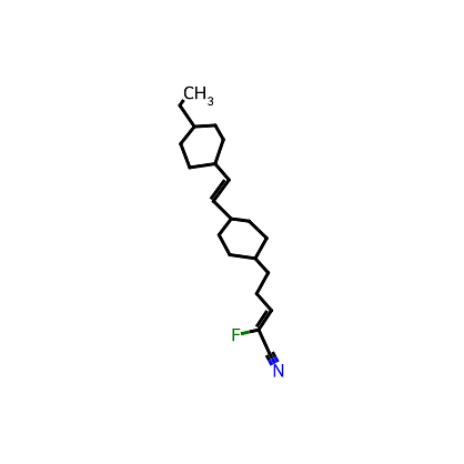 CCC1CCC(/C=C/C2CCC(CCC=C(F)C#N)CC2)CC1